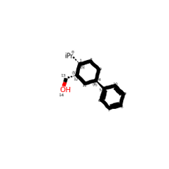 CC(C)[C@@H]1CC[C@@H](c2ccccc2)C[C@@H]1CO